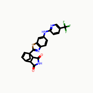 O=C1NC(=O)C2C1C1C=CC2(c2nc3ccc(Nc4ccc(C(F)(F)F)cn4)cc3s2)C1